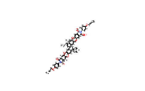 C#CCOc1ccc(N2C(=O)c3cc4c(cc3C2O)Oc2cc3c(cc2O4)C(C)(C)CC32CC(C)(C)c3cc4oc5cc6c(=O)n(-c7ccc(OCC#C)cc7)c(=O)c6cc5oc4cc32)cc1